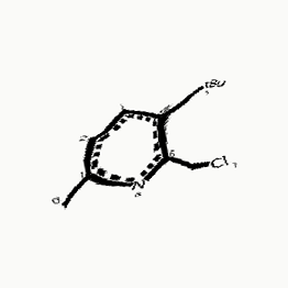 Cc1ccc(C(C)(C)C)c(Cl)n1